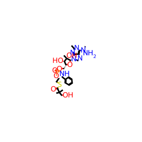 Cc1nc(N(C)N)c2ncn([C@@H]3O[C@H](COP(=O)(NCc4ccccc4)OCCSC(=O)C(C)(C)CO)[C@H](O)C3(C)O)c2n1